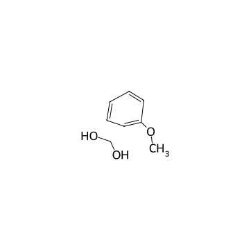 COc1ccccc1.OCO